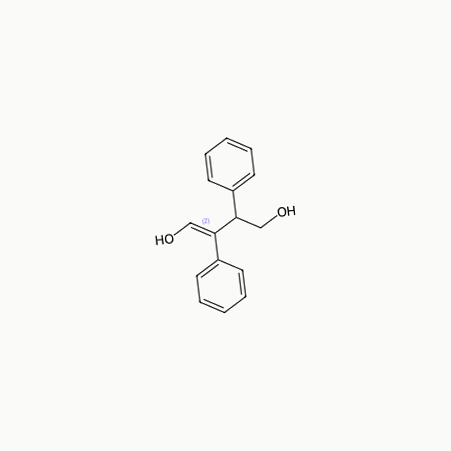 O/C=C(\c1ccccc1)C(CO)c1ccccc1